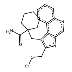 CCOCc1nc2cnc3ccccc3c2n1CC1(C(N)=O)CCCCC1